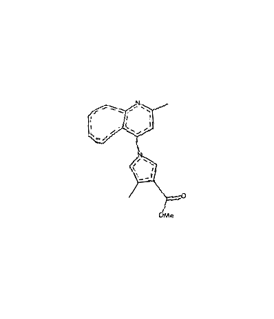 COC(=O)c1cn(-c2cc(C)nc3ccccc23)cc1C